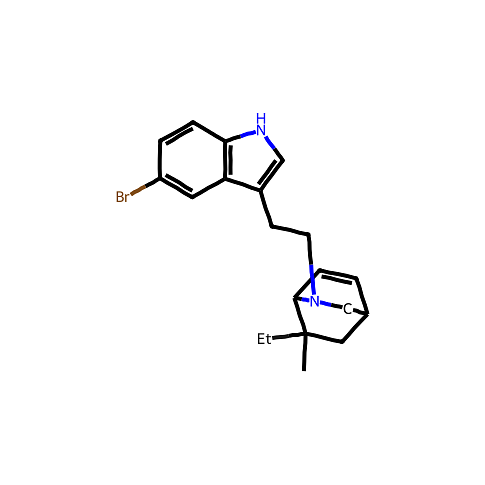 CCC1(C)CC2C=CC1N(CCc1c[nH]c3ccc(Br)cc13)C2